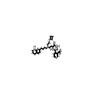 O=C(NC(CCN(CCCCc1ccc2c(n1)NCCC2)CCOC1CCC1)C(=O)O)c1ccncc1C(F)(F)F